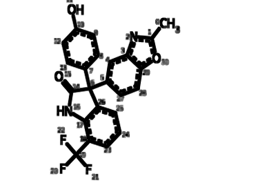 Cc1nc2cc(C3(c4ccc(O)cc4)C(=O)Nc4c(C(F)(F)F)cccc43)ccc2o1